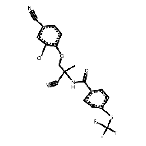 CC(C#N)(COc1ccc(C#N)cc1Cl)NC(=O)c1ccc(SC(F)(F)F)cc1